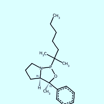 CCCCCC(C)(C)P1O[C@@](C)(c2ccccc2)[C@H]2CCCN21